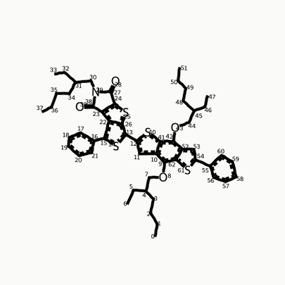 CCCCC(CC)COc1c2cc(-c3sc(-c4ccccc4)c4c5c(sc34)C(=O)N(CC(CC)CCCC)C5=O)sc2c(OCC(CC)CCCC)c2cc(-c3ccccc3)sc12